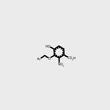 CC(=O)COc1c(O)ccc(C(=O)O)c1[N+](=O)[O-]